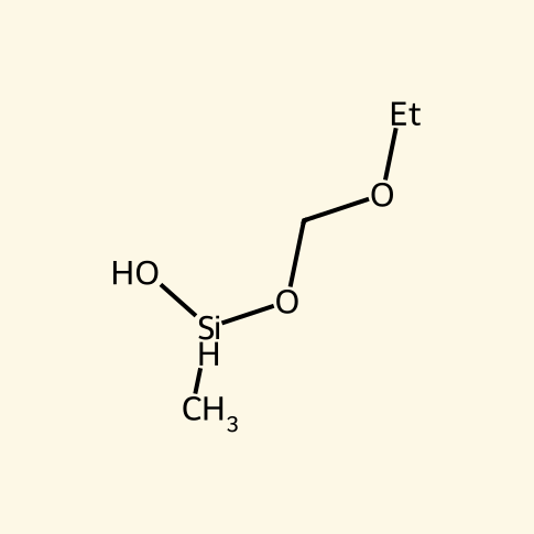 CCOCO[SiH](C)O